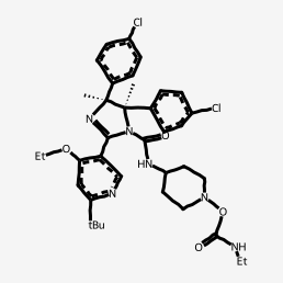 CCNC(=O)ON1CCC(NC(=O)N2C(c3cnc(C(C)(C)C)cc3OCC)=N[C@@](C)(c3ccc(Cl)cc3)[C@@]2(C)c2ccc(Cl)cc2)CC1